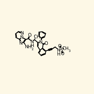 C[C@H](NC(=O)c1c(N)nc2cccnn12)c1cc2cccc(C#CCNS(C)(=O)=O)c2c(=O)n1-c1ccccc1